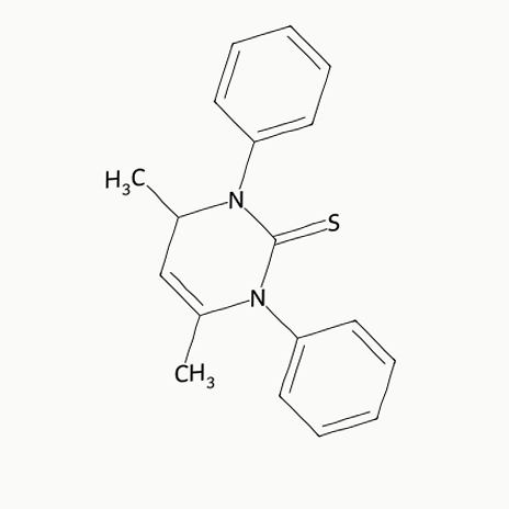 CC1=CC(C)N(c2ccccc2)C(=S)N1c1ccccc1